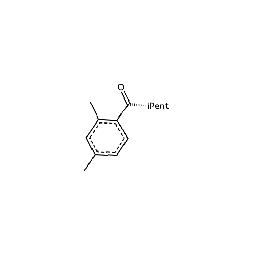 CCC[C@@H](C)C(=O)c1ccc(C)cc1C